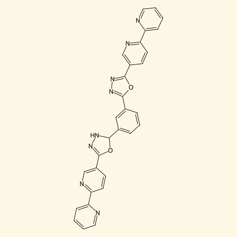 c1ccc(-c2ccc(C3=NNC(c4cccc(-c5nnc(-c6ccc(-c7ccccn7)nc6)o5)c4)O3)cn2)nc1